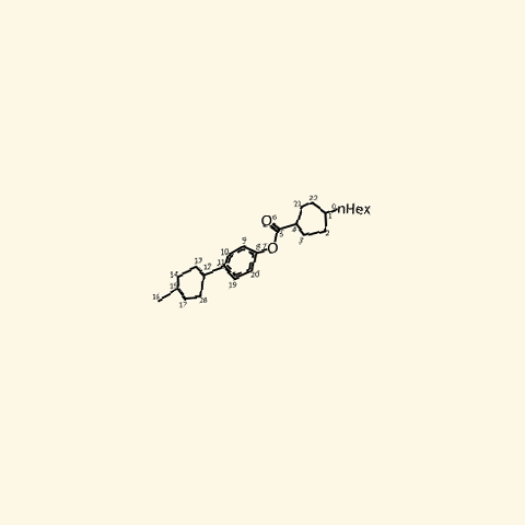 CCCCCCC1CCC(C(=O)Oc2ccc(C3CCC(C)CC3)cc2)CC1